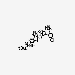 Cc1cc(NC(=O)OC(C)(C)C)ncc1-c1cnc([C@@H]2CCc3cc(-c4cc(Cl)ccc4-n4cnnn4)cc(=O)n32)[nH]1